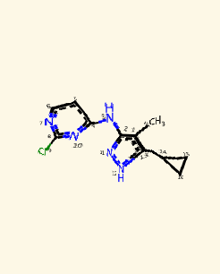 Cc1c(Nc2ccnc(Cl)n2)n[nH]c1C1CC1